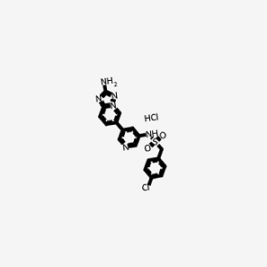 Cl.Nc1nc2ccc(-c3cncc(NS(=O)(=O)Cc4ccc(Cl)cc4)c3)cn2n1